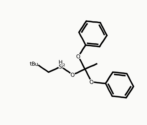 CC(C)(C)C[SiH2]OC(C)(Oc1ccccc1)Oc1ccccc1